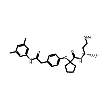 CSCC[C@@H](NC(=O)C1(Oc2ccc(CC(=O)Nc3cc(C)cc(C)c3)cc2)CCCC1)C(=O)O